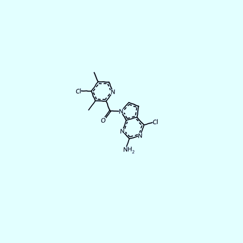 Cc1cnc(C(=O)n2ccc3c(Cl)nc(N)nc32)c(C)c1Cl